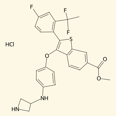 COC(=O)c1ccc2c(Oc3ccc(NC4CNC4)cc3)c(-c3ccc(F)cc3C(C)(F)F)sc2c1.Cl